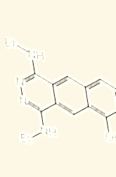 CCNc1nnc(NCC)c2cc3c(OC)cccc3cc12